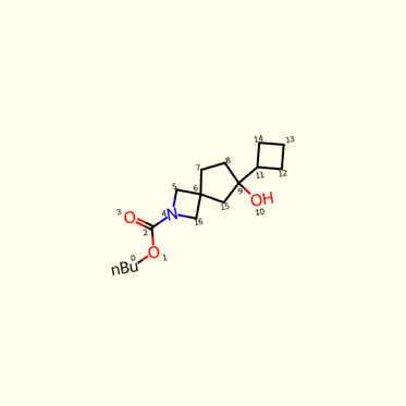 CCCCOC(=O)N1CC2(CCC(O)(C3CCC3)C2)C1